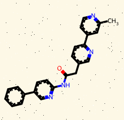 Cc1cc(-c2ccc(CC(=O)Nc3ccc(-c4ccccc4)cn3)cn2)ccn1